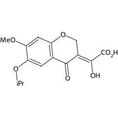 COc1cc2c(cc1OC(C)C)C(=O)C(=C(O)C(=O)O)CO2